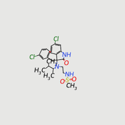 CC(C)C(C)N(CCNS(C)(=O)=O)C1(Cc2cccc(Cl)c2)C(=O)Nc2cc(Cl)ccc21